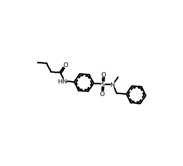 CCCC(=O)Nc1ccc(S(=O)(=O)N(C)Cc2ccccc2)cc1